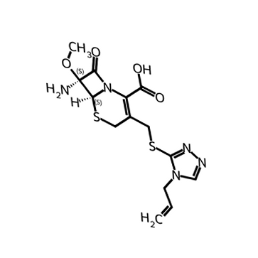 C=CCn1cnnc1SCC1=C(C(=O)O)N2C(=O)[C@](N)(OC)[C@@H]2SC1